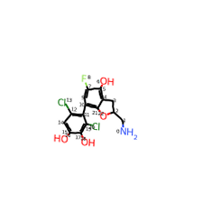 NCC1Cc2c(O)c(F)cc(-c3c(Cl)cc(O)c(O)c3Cl)c2O1